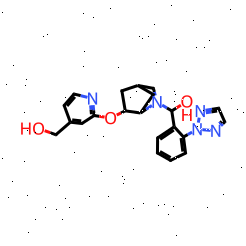 OCc1ccnc(OC2CC3CC2N(C(O)c2ccccc2-n2nccn2)C3)c1